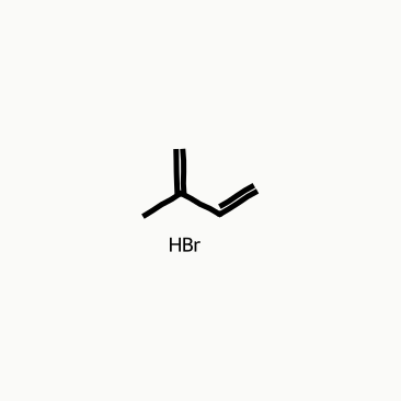 Br.C=CC(=C)C